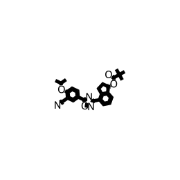 CC(C)Oc1ccc(-c2nc(-c3cccc4c3CC[C@H]4OC(=O)C(C)(C)C)no2)cc1C#N